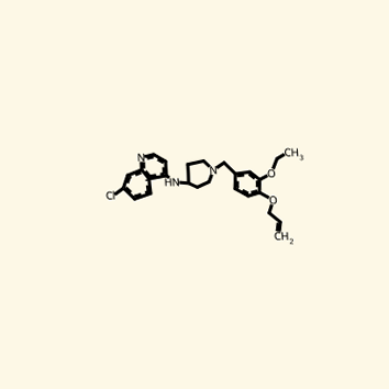 C=CCOc1ccc(CN2CCC(Nc3ccnc4cc(Cl)ccc34)CC2)cc1OCC